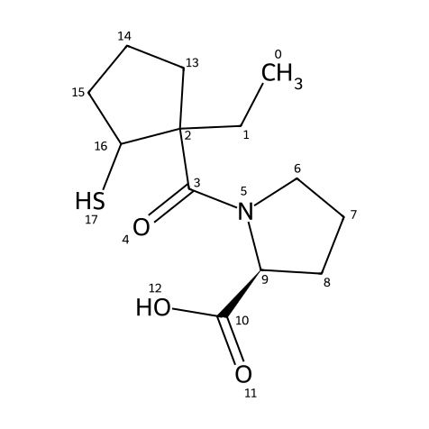 CCC1(C(=O)N2CCC[C@H]2C(=O)O)CCCC1S